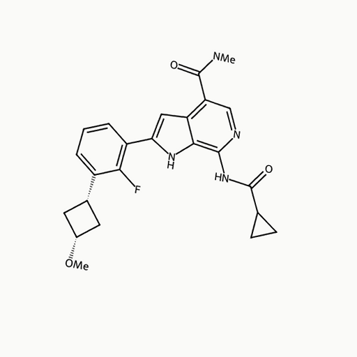 CNC(=O)c1cnc(NC(=O)C2CC2)c2[nH]c(-c3cccc([C@H]4C[C@@H](OC)C4)c3F)cc12